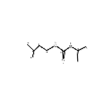 CC(C)CCOC(=O)OC(C)C